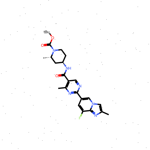 Cc1cn2cc(-c3ncc(C(=O)N[C@@H]4CCN(C(=O)OC(C)(C)C)[C@@H](C)C4)c(C)n3)cc(F)c2n1